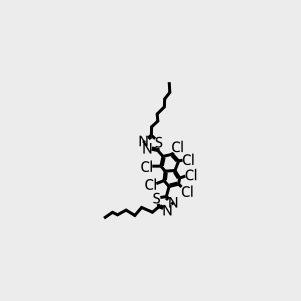 CCCCCCCc1nnc(-c2c(Cl)c(Cl)c3c(Cl)c(Cl)c(-c4nnc(CCCCCCC)s4)c(Cl)c3c2Cl)s1